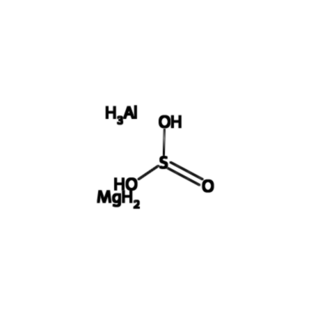 O=S(O)O.[AlH3].[MgH2]